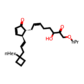 CCCCCCC1(C/C=C/[C@H]2C=CC(=O)[C@@H]2C/C=C\CCC(O)C(=O)COCCC)CCC1